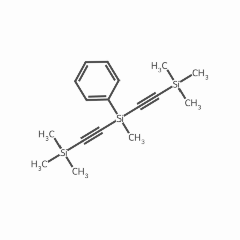 C[Si](C)(C)C#C[Si](C)(C#C[Si](C)(C)C)c1ccccc1